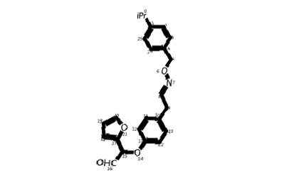 CC(C)c1ccc(CON=CCc2ccc(OC(C=O)c3ccco3)cc2)cc1